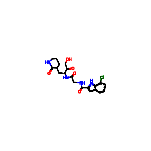 O=C(CNC(=O)c1cc2cccc(Cl)c2[nH]1)N[C@@H](CC1CCCNC1=O)C(=O)CO